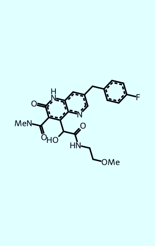 CNC(=O)c1c(C(O)C(=O)NCCOC)c2ncc(Cc3ccc(F)cc3)cc2[nH]c1=O